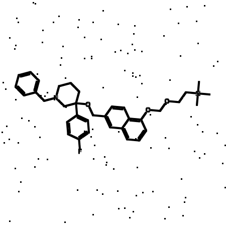 C[Si](C)(C)CCOCOc1cccc2cc(COC3(c4ccc(F)cc4)CCCN(Cc4ccccc4)C3)ccc12